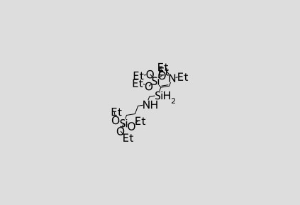 CCO[Si](CCCNC[SiH2]C(=CN(CC)CC)[Si](OCC)(OCC)OCC)(OCC)OCC